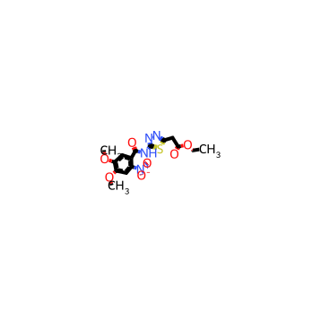 CCOC(=O)Cc1nnc(NC(=O)c2cc(OC)c(OC)cc2[N+](=O)[O-])s1